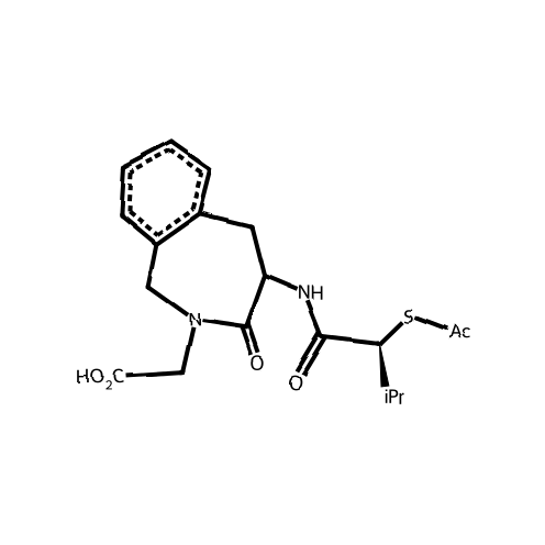 CC(=O)S[C@H](C(=O)NC1Cc2ccccc2CN(CC(=O)O)C1=O)C(C)C